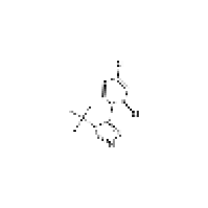 CC(C)(C)C1C=NN=C1c1ccc(Cl)cc1Cl